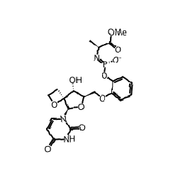 COC(=O)[C@H](C)/N=[P+](\[O-])Oc1ccccc1OC[C@H]1O[C@@H](n2ccc(=O)[nH]c2=O)[C@]2(CCO2)[C@@H]1O